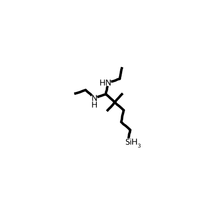 CCNC(NCC)C(C)(C)CCC[SiH3]